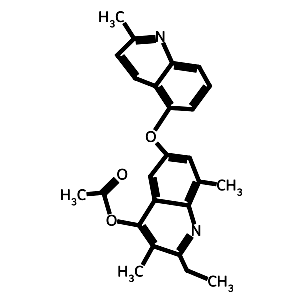 CCc1nc2c(C)cc(Oc3cccc4nc(C)ccc34)cc2c(OC(C)=O)c1C